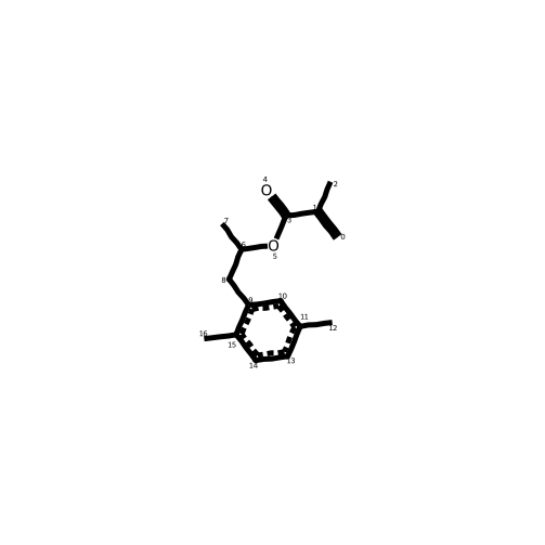 C=C(C)C(=O)OC(C)Cc1cc(C)ccc1C